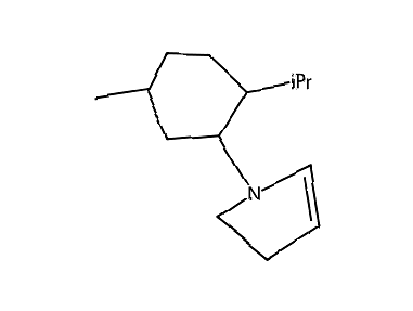 CC1CCC(C(C)C)C(N2C=CCC2)C1